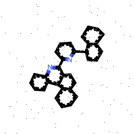 c1cc(-c2cccc3ccccc23)nc(-c2nc3ccccc3c3c2ccc2ccccc23)c1